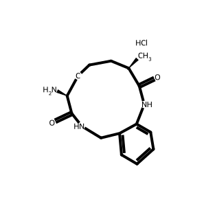 C[C@@H]1CCC[C@H](N)C(=O)NCc2ccccc2NC1=O.Cl